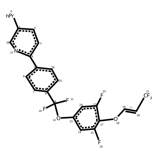 CCCc1ccc(-c2ccc(C(F)(F)Oc3cc(F)c(O/C=C/C(F)(F)F)c(F)c3)cc2)nc1